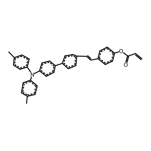 C=CC(=O)Oc1ccc(C=Cc2ccc(-c3ccc(N(c4ccc(C)cc4)c4ccc(C)cc4)cc3)cc2)cc1